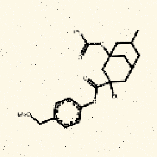 CCC1(C(=O)Oc2ccc(COC)cc2)CC2CC(C)CC(OC(=O)C(C)C)(C2)C1